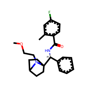 COCCN1C2CCC1([C@H](NC(=O)c1ccc(F)cc1C)c1ccccc1)CC2